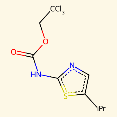 CC(C)c1cnc(NC(=O)OCC(Cl)(Cl)Cl)s1